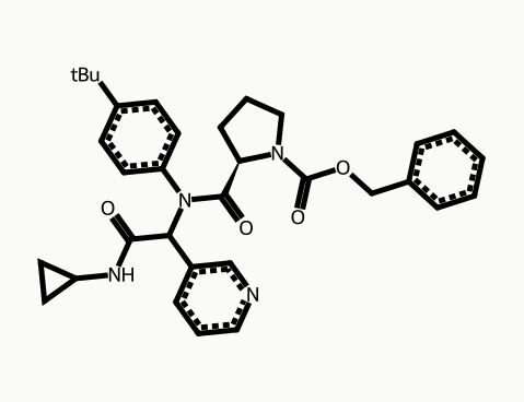 CC(C)(C)c1ccc(N(C(=O)[C@H]2CCCN2C(=O)OCc2ccccc2)C(C(=O)NC2CC2)c2cccnc2)cc1